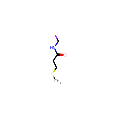 CSCCC(=O)NCI